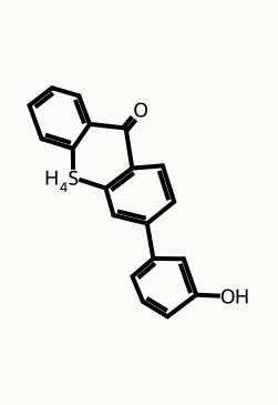 O=C1c2ccccc2[SH4]c2cc(-c3cccc(O)c3)ccc21